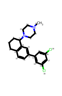 CN1CCN(C2CCCc3ccc(-c4cc(Cl)cc(Cl)c4)cc32)CC1